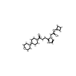 O=C(Cn1ccnc1CCC(=O)N1CCC(N2CCOCC2)CC1)OC1CCC1